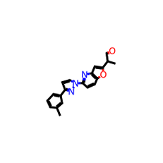 Cc1cccc(-c2ccn(-c3ccc4oc(C(C)C=O)cc4n3)n2)c1